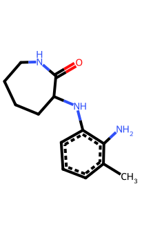 Cc1cccc(NC2CCCCNC2=O)c1N